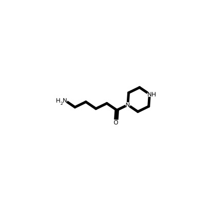 NCCCCC(=O)N1CCNCC1